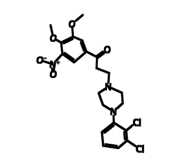 COc1cc(C(=O)CCN2CCN(c3cccc(Cl)c3Cl)CC2)cc([N+](=O)[O-])c1OC